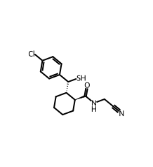 N#CCNC(=O)[C@H]1CCCC[C@@H]1C(S)c1ccc(Cl)cc1